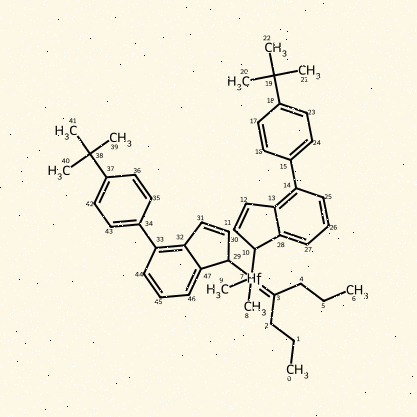 CCC[C](CCC)=[Hf]([CH3])([CH3])([CH]1C=Cc2c(-c3ccc(C(C)(C)C)cc3)cccc21)[CH]1C=Cc2c(-c3ccc(C(C)(C)C)cc3)cccc21